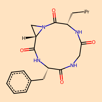 CC(C)C[C@@H]1NC(=O)CNC(=O)[C@H](Cc2ccccc2)NC(=O)[C@@H]2CN2C1=O